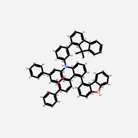 CC1(C)c2ccccc2-c2cccc(-c3cccc(N(c4cccc(-c5ccccc5)c4)c4cccc(-c5cccc6oc7ccccc7c56)c4-c4ccc(-c5ccccc5)cc4)c3)c21